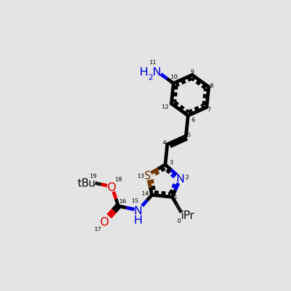 CC(C)c1nc(C=Cc2cccc(N)c2)sc1NC(=O)OC(C)(C)C